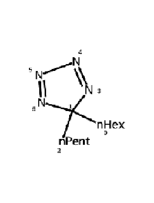 CCCCCCC1(CCCCC)N=NN=N1